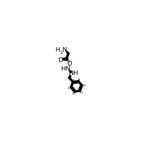 NCC(=O)ONNCc1ccccc1